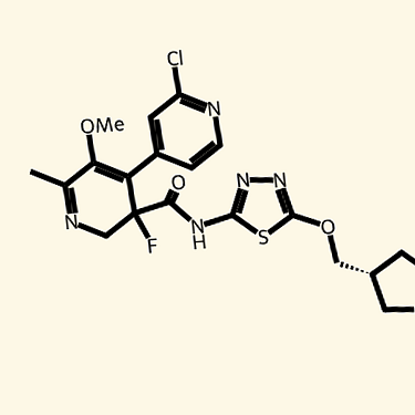 COC1=C(c2ccnc(Cl)c2)C(F)(C(=O)Nc2nnc(OC[C@@H]3CCOC3)s2)CN=C1C